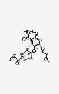 COCCOc1cc2nc[nH]c(=O)c2cc1OC1CCN(C(=O)OC)CC1